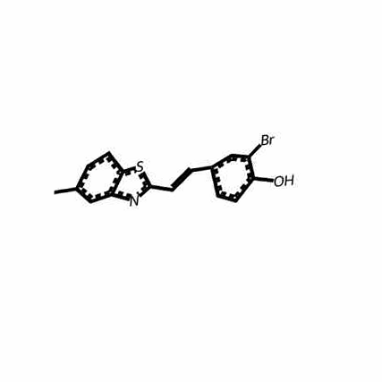 Cc1ccc2sc(/C=C/c3ccc(O)c(Br)c3)nc2c1